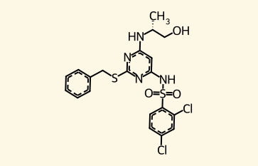 C[C@H](CO)Nc1cc(NS(=O)(=O)c2ccc(Cl)cc2Cl)nc(SCc2ccccc2)n1